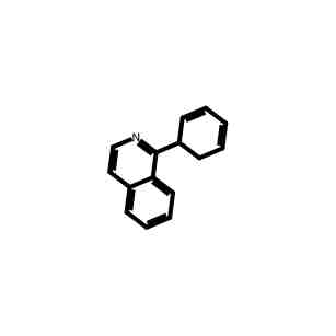 C1=CCC(c2nccc3ccccc23)C=C1